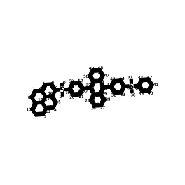 CS(C)(C1=CC=C2C=CC3=CC=CC4=CC=C1C2C34)c1ccc(-c2c3ccccc3c(-c3ccc(S(C)(C)c4ccccc4)cc3)c3ccccc23)cc1